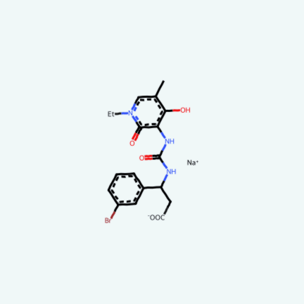 CCn1cc(C)c(O)c(NC(=O)NC(CC(=O)[O-])c2cccc(Br)c2)c1=O.[Na+]